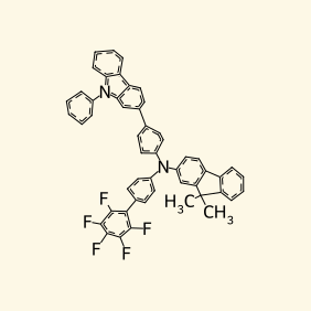 CC1(C)c2ccccc2-c2ccc(N(c3ccc(-c4ccc5c6ccccc6n(-c6ccccc6)c5c4)cc3)c3ccc(-c4c(F)c(F)c(F)c(F)c4F)cc3)cc21